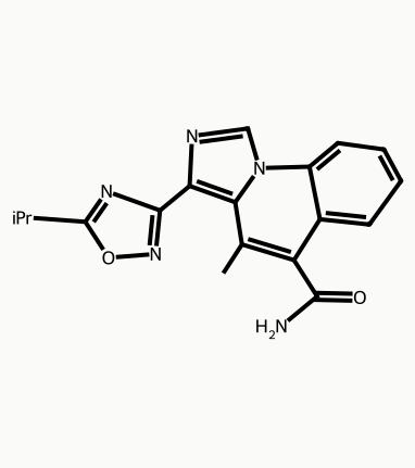 Cc1c(C(N)=O)c2ccccc2n2cnc(-c3noc(C(C)C)n3)c12